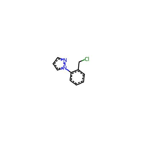 ClCc1ccccc1-n1cccn1